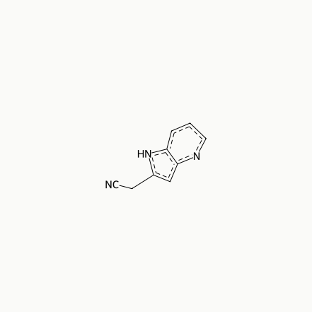 N#CCc1cc2ncccc2[nH]1